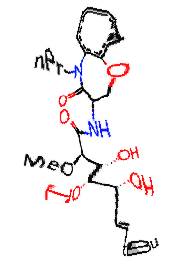 CCCN1C(=O)C(NC(=O)[C@H](OC)[C@H](O)[C@@H](O)[C@H](O)/C=C/C(C)(C)C)COc2ccccc21